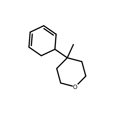 CC1(C2C=CC=CC2)CCOCC1